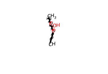 C#CC#CC#COCC(O)COCCCC